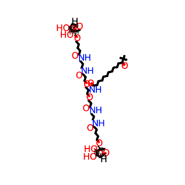 CC(C)(C)C(=O)CCCCCCCCCCC(=O)NC(COCCC(=O)NCCCNC(=O)CCCCOC[C@]12CO[C@H](C[C@@H](O)[C@H]1O)O2)COCCC(=O)NCCCNC(=O)CCCCOC[C@]12CO[C@H](C[C@@H](O)[C@H]1O)O2